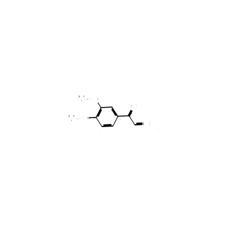 C=CC(=O)c1ccc(OC)c(OC)c1